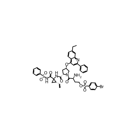 C=C[C@@H]1C[C@]1(NC(=O)[C@@H]1C[C@@H](Oc2cc(-c3ccccc3)nc3cc(CC)ccc23)CN1C(=O)[C@@H](N)CCOS(=O)(=O)c1ccc(Br)cc1)C(=O)NS(=O)(=O)c1ccccc1